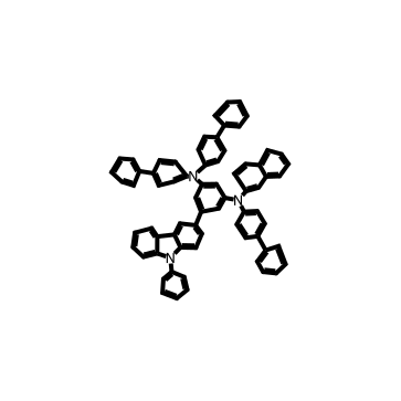 c1ccc(-c2ccc(N(c3ccc(-c4ccccc4)cc3)c3cc(-c4ccc5c(c4)c4ccccc4n5-c4ccccc4)cc(N(c4ccc(-c5ccccc5)cc4)c4ccc5ccccc5c4)c3)cc2)cc1